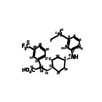 CN(C)c1ccnc(N[C@H]2CC[C@@H](CN(C(=O)O)c3cccc(C(F)(F)F)c3)CC2)n1